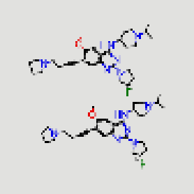 COc1cc2c(NC3CCN(C(C)C)CC3)nc(N3CC[C@H](F)C3)nc2cc1C#CCCN1CCCC1.COc1cc2c(NC3CCN(C(C)C)CC3)nc(N3CC[C@H](F)C3)nc2cc1C#CCCN1CCCC1